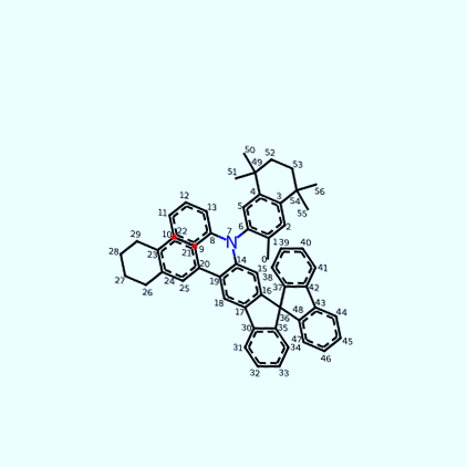 Cc1cc2c(cc1N(c1ccccc1)c1cc3c(cc1-c1ccc4c(c1)CCCC4)-c1ccccc1C31c3ccccc3-c3ccccc31)C(C)(C)CCC2(C)C